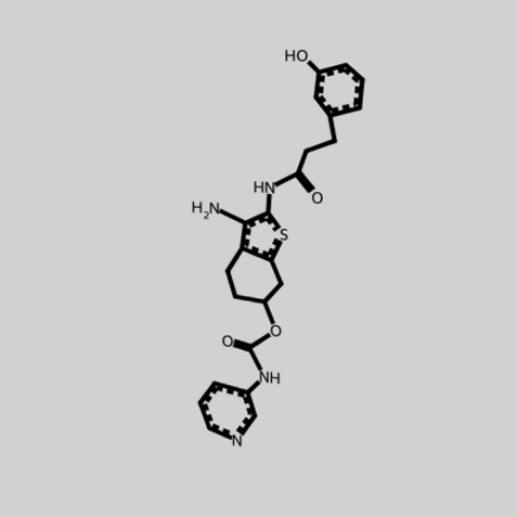 Nc1c(NC(=O)CCc2cccc(O)c2)sc2c1CCC(OC(=O)Nc1cccnc1)C2